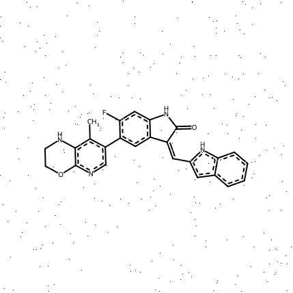 Cc1c(-c2cc3c(cc2F)NC(=O)/C3=C\c2cc3ccccc3[nH]2)cnc2c1NCCO2